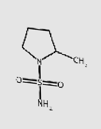 CC1CCCN1S(N)(=O)=O